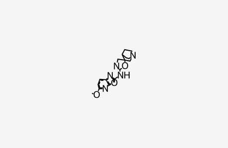 COc1ccc2nc(NC3=NCC4(CN5CCC4CC5)O3)oc2n1